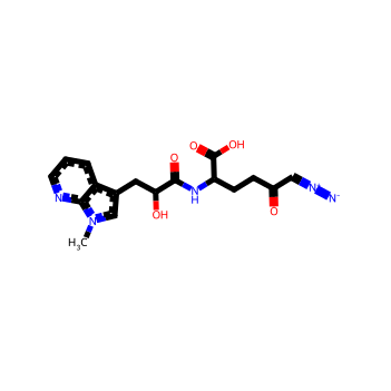 Cn1cc(CC(O)C(=O)NC(CCC(=O)C=[N+]=[N-])C(=O)O)c2cccnc21